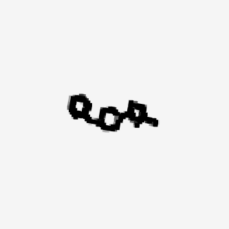 Brc1cnc(N2CCN(Cc3ccccc3)CC2)s1